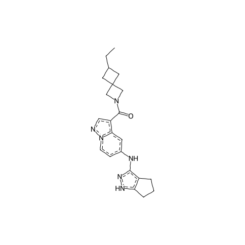 CCC1CC2(C1)CN(C(=O)c1cnn3ccc(Nc4n[nH]c5c4CCC5)cc13)C2